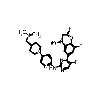 CC(C)N1CC(F)Oc2c(F)cc(-c3nc(Nc4ccc(N5CCC(CN(C)C)CC5)cn4)ncc3F)cc21